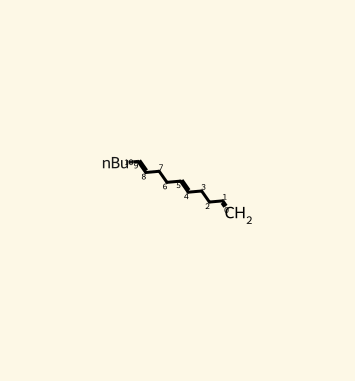 C=CCCC=CCCC=CCCCC